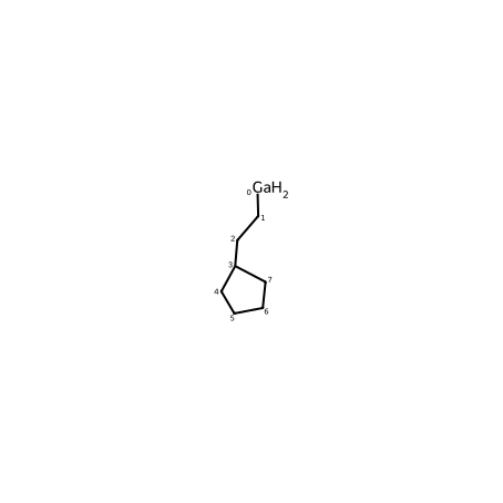 [GaH2][CH2]CC1CCCC1